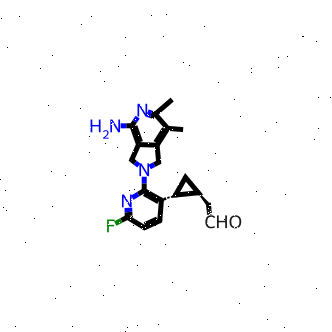 Cc1nc(N)c2c(c1C)CN(c1nc(F)ccc1[C@@H]1C[C@H]1CC=O)C2